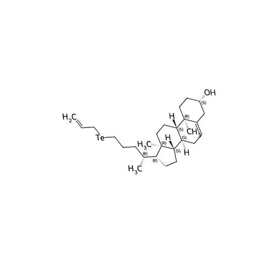 C=CC[Te]CCC[C@@H](C)[C@H]1CC[C@H]2[C@@H]3CC=C4C[C@@H](O)CC[C@]4(C)[C@H]3CC[C@]12C